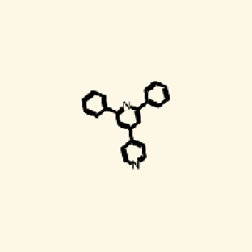 c1ccc(-c2cc(-c3ccncc3)cc(-c3ccccc3)n2)cc1